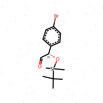 CC(C)(C)[Si](C)(C)O[C@H](C=O)c1ccc(Br)cc1